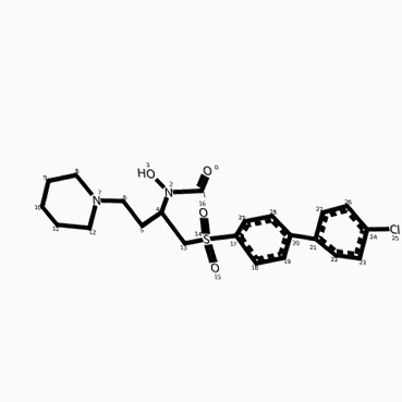 O=CN(O)C(CCN1CCCCC1)CS(=O)(=O)c1ccc(-c2ccc(Cl)cc2)cc1